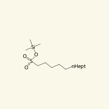 CCCCCCCCCCCCS(=O)(=O)O[Si](C)(C)C